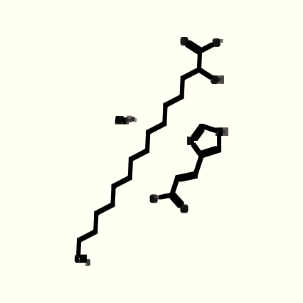 CCCCCCCCCCCCCCC(O)C(=O)[O-].O=C([O-])C=Cc1c[nH]cn1.[Mn+2]